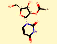 CCCC(=O)O[C@@H]1[C@H](O)[C@@H](CO)O[C@H]1n1ccc(=O)[nH]c1=O